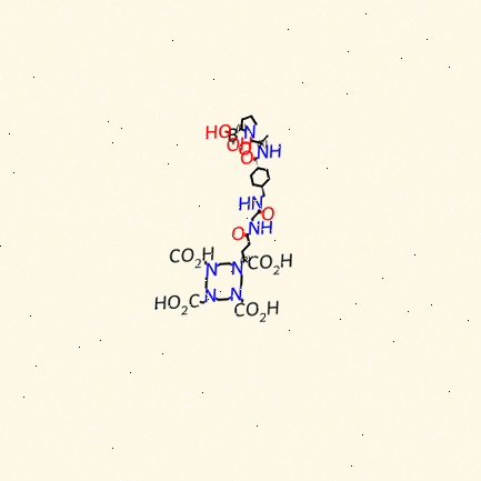 C[C@@H](NC(=O)[C@H]1CC[C@H](CNC(=O)CNC(=O)CC[C@H](C(=O)O)N2CCN(CC(=O)O)CCN(CC(=O)O)CCN(CC(=O)O)CC2)CC1)C(=O)N1CCC[C@H]1B(O)O